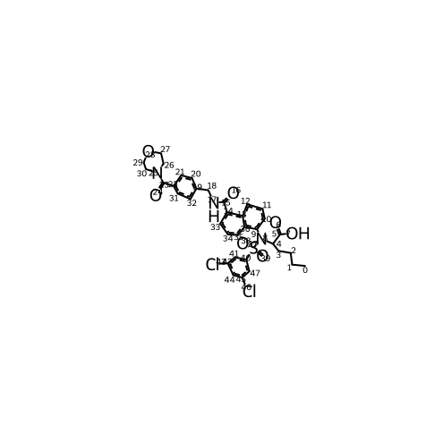 CCCCC(C(=O)O)N(c1cccc2c(C(=O)NCc3ccc(C(=O)N4CCOCC4)cc3)cccc12)S(=O)(=O)c1cc(Cl)cc(Cl)c1